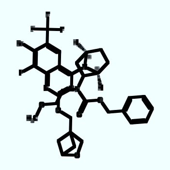 COCCN(C(=O)OCc1ccccc1)C1C[C@H]2CC[C@@H]1N2c1nc(OCC23COC(C2)C3)nc2c(F)c(Br)c(C(F)(F)F)cc12